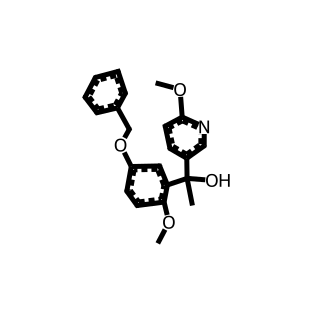 COc1ccc(C(C)(O)c2cc(OCc3ccccc3)ccc2OC)cn1